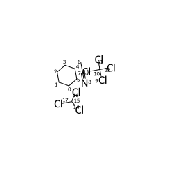 C1CCCCC1.CC#N.ClC(Cl)(Cl)Cl.ClC(Cl)Cl